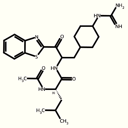 CC(=O)N[C@@H](CC(C)C)C(=O)NC(CC1CCC(NC(=N)N)CC1)C(=O)c1nc2ccccc2s1